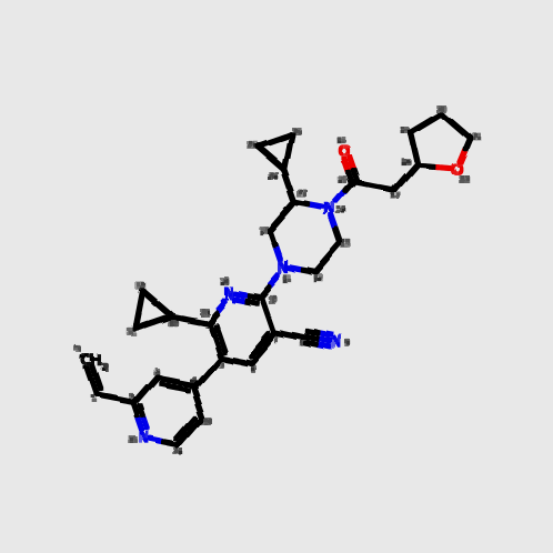 C=Cc1cc(-c2cc(C#N)c(N3CCN(C(=O)CC4CCCO4)C(C4CC4)C3)nc2C2CC2)ccn1